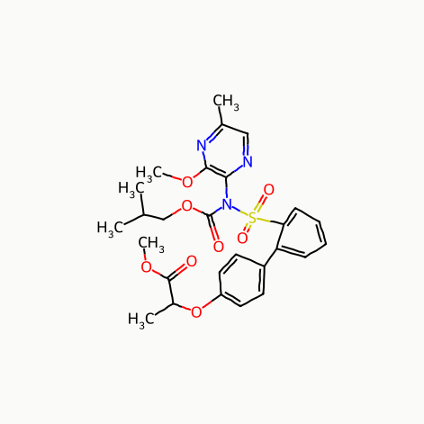 COC(=O)C(C)Oc1ccc(-c2ccccc2S(=O)(=O)N(C(=O)OCC(C)C)c2ncc(C)nc2OC)cc1